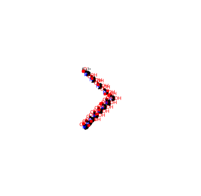 O=C(O)c1cc(O)ccn1.O=C(O)c1cc(O)ccn1.O=C(O)c1cc(O)ccn1.O=C(O)c1cc(O)ccn1.O=C(O)c1cc(O)ccn1.O=C(O)c1cc(O)ccn1.O=C(O)c1cc(O)ccn1.O=C(O)c1cc(O)ccn1.O=C(O)c1cc(O)ccn1.O=C([O-])c1ccccn1.O=C([O-])c1ccccn1.O=C([O-])c1ccccn1.[Eu+3]